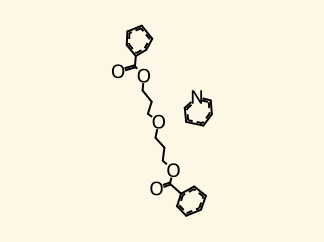 O=C(OCCCOCCCOC(=O)c1ccccc1)c1ccccc1.c1ccncc1